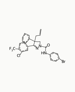 C=CCC1(c2ccccc2)CN(C(=O)Nc2ccc(Br)cc2)N=C1c1ccc(C(F)(F)F)c(Cl)c1